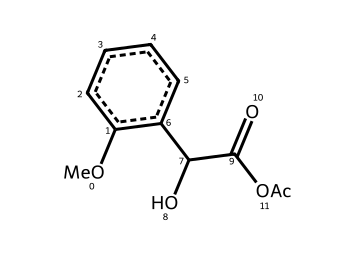 COc1ccccc1C(O)C(=O)OC(C)=O